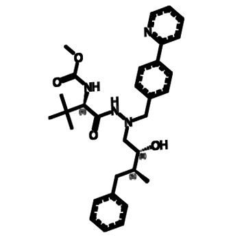 COC(=O)N[C@@H](C(=O)NN(Cc1ccc(-c2ccccn2)cc1)C[C@H](O)[C@@H](C)Cc1ccccc1)C(C)(C)C